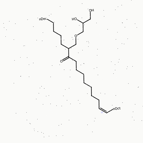 CCCCCCCC/C=C\CCCCCCCC(=O)C(CCCCCCCCCCCCCC)COCC(O)CO